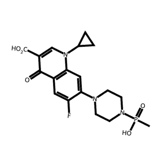 CP(=O)(O)N1CCN(c2cc3c(cc2F)c(=O)c(C(=O)O)cn3C2CC2)CC1